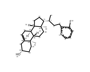 CC(CCc1ncccc1F)[C@H]1CC[C@H]2[C@@H]3CC=C4C[C@@H](O)CC[C@]4(C)[C@H]3CC[C@]12C